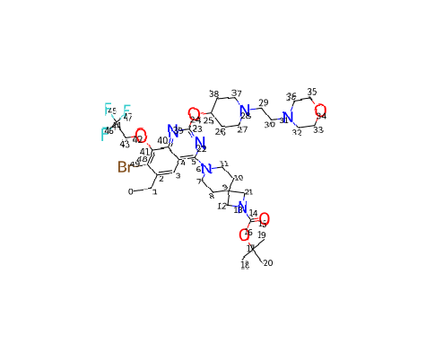 CCc1cc2c(N3CCC4(CC3)CN(C(=O)OC(C)(C)C)C4)nc(OC3CCN(CCN4CCOCC4)CC3)nc2c(OCC(F)(F)F)c1Br